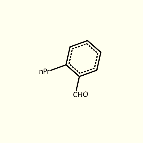 CCCc1ccccc1[C]=O